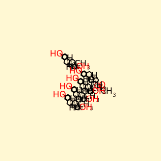 CCC(=O)O[C@H]1CC[C@H]2[C@@H]3CCc4cc(O)ccc4[C@H]3CC[C@]12C.C[C@]12CC[C@@H]3c4ccc(O)cc4CC[C@H]3[C@@H]1CC[C@@H]2O.C[C@]12CC[C@@H]3c4ccc(O)cc4CC[C@H]3[C@@H]1CC[C@@H]2O.C[C@]12CC[C@@H]3c4ccc(O)cc4CC[C@H]3[C@@H]1CC[C@@H]2O.C[C@]12CC[C@@H]3c4ccc(O)cc4CC[C@H]3[C@@H]1CC[C@@H]2O